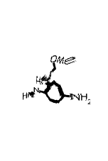 COCNc1cc(N)ccc1N=N